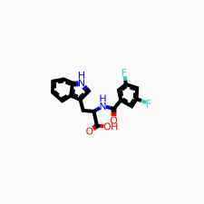 O=C(NC(Cc1c[nH]c2ccccc12)C(=O)O)c1cc(F)cc(F)c1